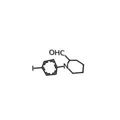 O=CC1CCCCN1c1ccc(I)cc1